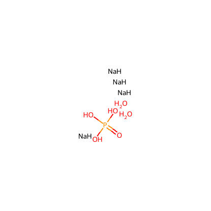 O.O.O=P(O)(O)O.[NaH].[NaH].[NaH].[NaH]